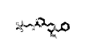 C=C(N)N(Cc1ccccc1)/N=C\Cc1ccnc(NCCNS(C)(=O)=O)n1